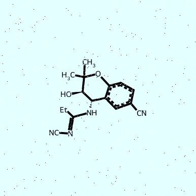 CC/C(=N\C#N)N[C@H]1c2cc(C#N)ccc2OC(C)(C)[C@@H]1O